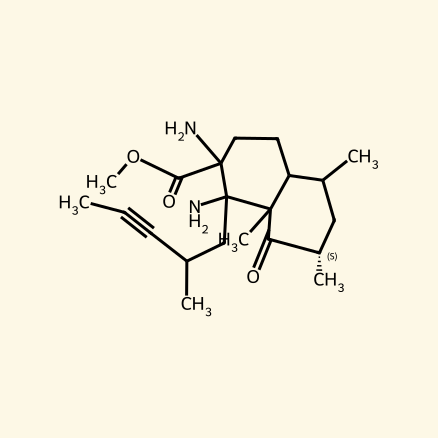 CC#CC(C)CC1(N)C(N)(C(=O)OC)CCC2C(C)C[C@H](C)C(=O)C21C